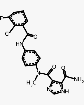 CN(C(=O)c1nc[nH]c1C(N)=O)c1ccc(NC(=O)c2cccc(F)c2Cl)cc1